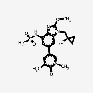 COc1nc2c(NS(C)(=O)=O)cc(-c3cc(C)c(=O)n(C)c3)cc2n1CC1(C)CC1